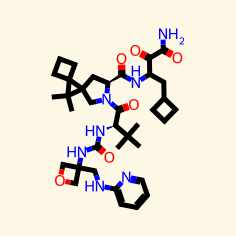 CC(C)(C)[C@H](NC(=O)NC1(CNc2ccccn2)COC1)C(=O)N1CC2(C[C@H]1C(=O)NC(CC1CCC1)C(=O)C(N)=O)C(C)(C)C21CCC1